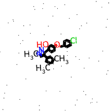 Cc1cc(C)cc(-c2cn(C)nc2-c2ccc(OCc3ccc(Cl)cc3)cc2O)c1